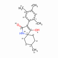 Cc1cc(C)c(C2=C(O)C3(CCC(C)CC3)NC2=O)cc1C